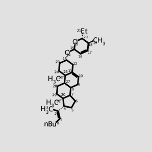 CCCC/C=C(\C)[C@H]1CCC2C3CC=C4C[C@@H](OC5C=C[C@H](C)[C@@H](CC)O5)CC[C@]4(C)C3CC[C@@]21C